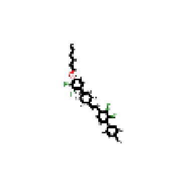 CCCCCCOc1ccc(C2CCC(/C=C/c3ccc(-c4ccc(C)cc4)c(F)c3F)CC2)c(F)c1F